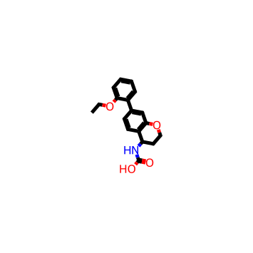 CCOc1ccccc1-c1ccc2c(c1)OCCC2NC(=O)O